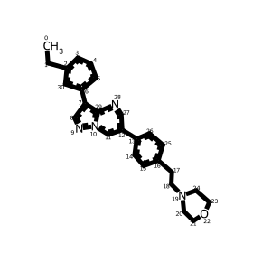 CCc1cccc(-c2cnn3cc(-c4ccc(CCN5CCOCC5)cc4)cnc23)c1